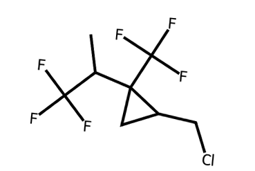 CC(C(F)(F)F)C1(C(F)(F)F)CC1CCl